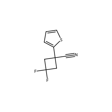 N#CC1(c2cccs2)CC(F)(F)C1